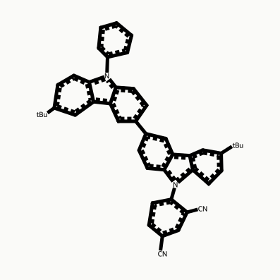 CC(C)(C)c1ccc2c(c1)c1cc(-c3ccc4c(c3)c3cc(C(C)(C)C)ccc3n4-c3ccc(C#N)cc3C#N)ccc1n2-c1ccccc1